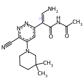 CC(=O)NC(=O)/C(=C\N)c1cc(N2CCCC(C)(C)C2)c(C#N)nn1